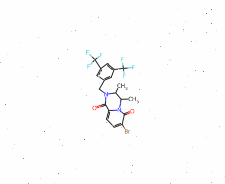 CC1C(C)n2c(ccc(Br)c2=O)C(=O)N1Cc1cc(C(F)(F)F)cc(C(F)(F)F)c1